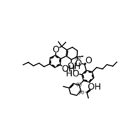 C=C(C)[C@@H]1CCC(C)=C[C@H]1c1c(O)cc(CCCCC)c(C(=O)O[C@@]2(C)CCC3=C(c4c(O)cc(CCCCC)cc4OC3(C)C)C2O)c1O